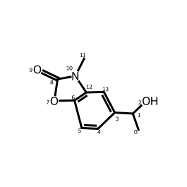 CC(O)c1ccc2oc(=O)n(C)c2c1